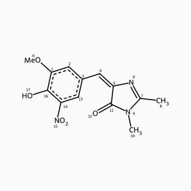 COc1cc(C=C2N=C(C)N(C)C2=O)cc([N+](=O)[O-])c1O